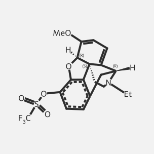 CCN1CC[C@@]23C4=CC=C(OC)[C@@H]2Oc2c(OS(=O)(=O)C(F)(F)F)ccc(c23)C[C@H]41